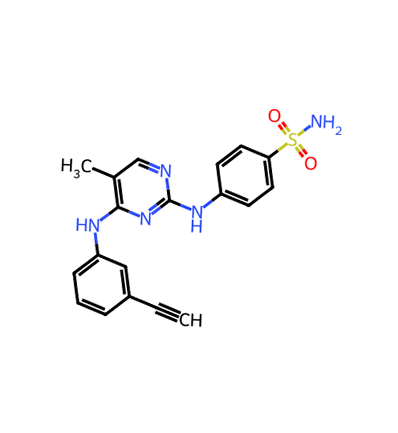 C#Cc1cccc(Nc2nc(Nc3ccc(S(N)(=O)=O)cc3)ncc2C)c1